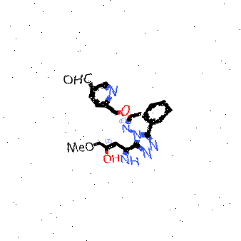 COC/C(O)=C/C(=N)c1nnc(-c2ccccc2)n1/N=C(\C)OCc1ccc(C=O)cn1